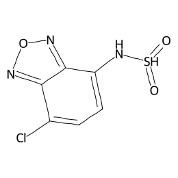 O=[SH](=O)Nc1ccc(Cl)c2nonc12